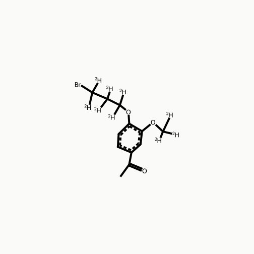 [2H]C([2H])([2H])Oc1cc(C(C)=O)ccc1OC([2H])([2H])C([2H])([2H])C([2H])([2H])Br